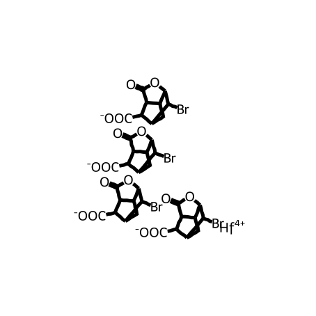 O=C([O-])C1C2CC3C(OC(=O)C31)C2Br.O=C([O-])C1C2CC3C(OC(=O)C31)C2Br.O=C([O-])C1C2CC3C(OC(=O)C31)C2Br.O=C([O-])C1C2CC3C(OC(=O)C31)C2Br.[Hf+4]